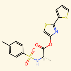 Cc1ccc(S(=O)(=O)N[C@@H](C)C(=O)Oc2csc(-c3cccs3)n2)cc1